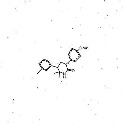 COc1ccc(C2CC(c3cccc(C)c3)C(C)(C)NC2=O)cc1